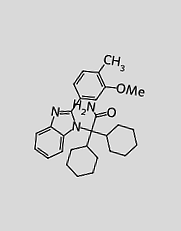 COc1cc(-c2nc3ccccc3n2C(C(N)=O)(C2CCCCC2)C2CCCCC2)ccc1C